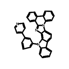 c1cc(-c2ccncc2)cc(-n2c3ccccc3c3ccc4c(nc5c6ccccc6c6ccccc6n45)c32)c1